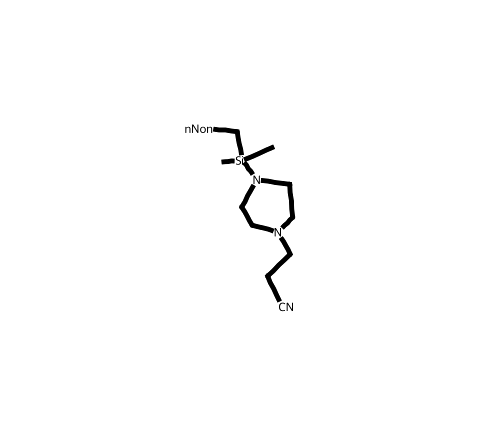 CCCCCCCCCC[Si](C)(C)N1CCN(CCC#N)CC1